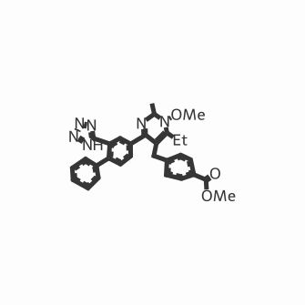 CCC1=C(Cc2ccc(C(=O)OC)cc2)C(c2ccc(-c3ccccc3)c(-c3nnn[nH]3)c2)=NC(C)N1OC